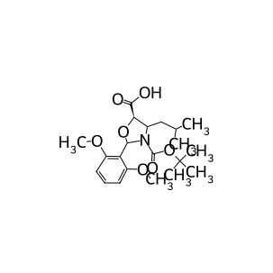 COc1cccc(OC)c1C1O[C@@H](C(=O)O)C(CC(C)C)N1C(=O)OC(C)(C)C